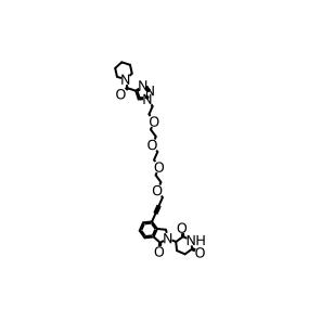 O=C1CCC(N2Cc3c(C#CCOCCOCCOCCOCCn4cc(C(=O)N5CCCCC5)nn4)cccc3C2=O)C(=O)N1